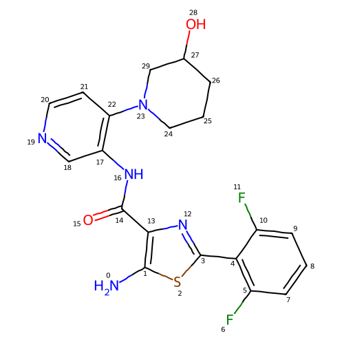 Nc1sc(-c2c(F)cccc2F)nc1C(=O)Nc1cnccc1N1CCCC(O)C1